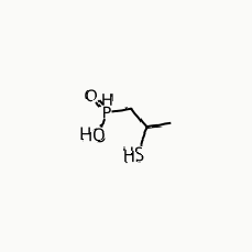 CC(S)C[PH](=O)O